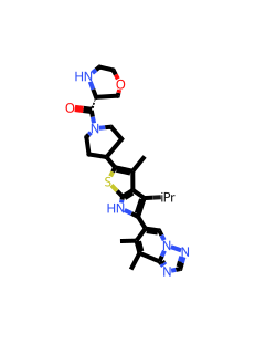 Cc1c(-c2[nH]c3sc(C4CCN(C(=O)[C@H]5COCCN5)CC4)c(C)c3c2C(C)C)cn2ncnc2c1C